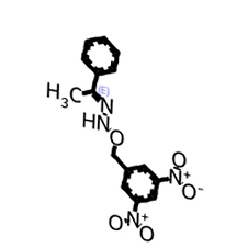 C/C(=N\NOCc1cc([N+](=O)[O-])cc([N+](=O)[O-])c1)c1ccccc1